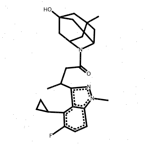 CC(CC(=O)N1C2CC3(C)CC1CC(O)(C2)C3)c1nn(C)c2ccc(F)c(C3CC3)c12